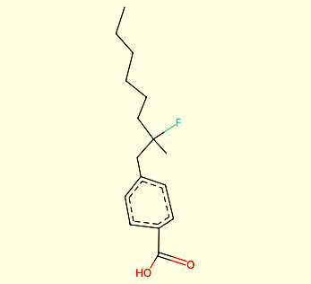 CCCCCCC(C)(F)Cc1ccc(C(=O)O)cc1